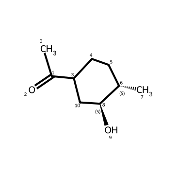 CC(=O)C1CC[C@H](C)[C@@H](O)C1